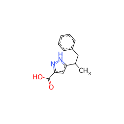 CC(Cc1ccccc1)c1cc(C(=O)O)n[nH]1